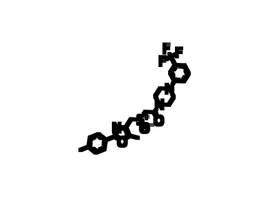 Cc1ccc(-c2nc(C[S+]([O-])CC(=O)N3CCN(c4cccc(C(F)(F)F)c4)CC3)c(C)o2)cc1